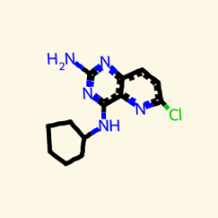 Nc1nc(NC2CCCCC2)c2nc(Cl)ccc2n1